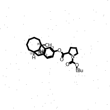 CC(C)(C)OC(=O)N1CCCC1C(=O)Oc1ccc2c(c1)[C@@]1(C)CCCCC[C@@H](C2)[C@@H]1N